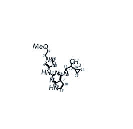 COCCn1cc(Nc2nc(/N=C/C(C)C3CC3)c3cc[nH]c3n2)nn1